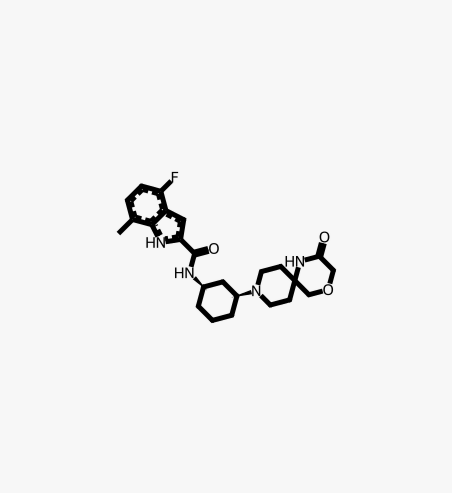 Cc1ccc(F)c2cc(C(=O)N[C@@H]3CCC[C@H](N4CCC5(CC4)COCC(=O)N5)C3)[nH]c12